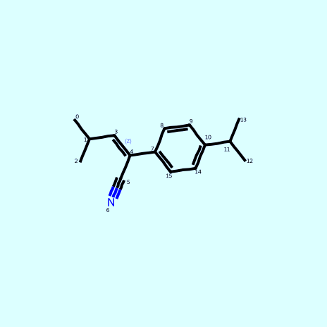 CC(C)/C=C(\C#N)c1ccc(C(C)C)cc1